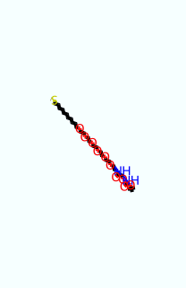 CSCCCCCCCCCCCOCCOCCOCCOCCOCCOCCNC(=O)CONC(=O)OC(C)(C)C